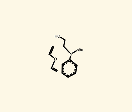 C=COC=C.CCCCN(CCO)c1ccccc1